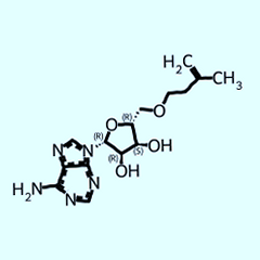 C=C(C)CCOC[C@H]1O[C@@H](n2cnc3c(N)ncnc32)[C@H](O)[C@@H]1O